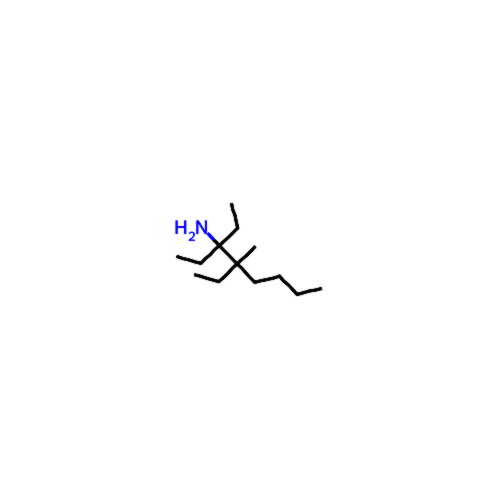 CCCCC(C)(CC)C(N)(CC)CC